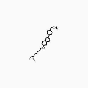 CCCCCCCCOc1ccc2cc(C3=CCC(CC)CC3)ccc2c1